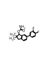 CC1(C)Cc2ccc(-c3ccc(F)c(F)c3)cc2C1OC(N)=O